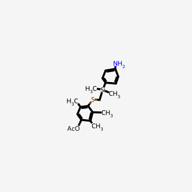 CC(=O)Oc1cc(C)c(SC[Si](C)(C)c2ccc(N)cc2)c(C)c1C